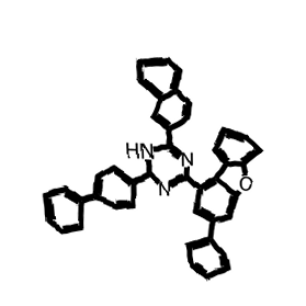 c1ccc(-c2ccc(C3N=C(c4cc(-c5ccccc5)cc5oc6ccccc6c45)N=C(c4ccc5ccccc5c4)N3)cc2)cc1